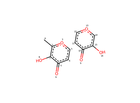 Cc1occc(=O)c1O.O=c1ccocc1O